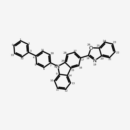 c1ccc(-c2ccc(-n3c4ccccc4c4cc(-c5nc6ccccc6o5)ccc43)cc2)cc1